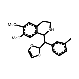 COc1cc2c(cc1OC)C(C(c1cccc(C)c1)C1OC=CO1)NCC2